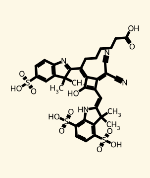 CC1(C)C(C(CCCCCC(=O)O)=C2C(O)=C(C=C3Nc4c(S(=O)(=O)O)ccc(S(=O)(=O)O)c4C3(C)C)C2=C(C#N)C#N)=Nc2ccc(S(=O)(=O)O)cc21